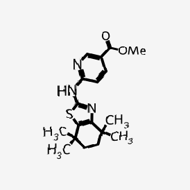 COC(=O)c1ccc(Nc2nc3c(s2)C(C)(C)CCC3(C)C)nc1